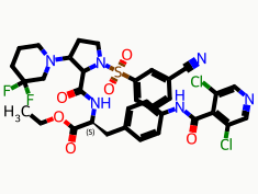 CCOC(=O)[C@H](Cc1ccc(NC(=O)c2c(Cl)cncc2Cl)cc1)NC(=O)C1C(N2CCCC(F)(F)C2)CCN1S(=O)(=O)c1cccc(C#N)c1